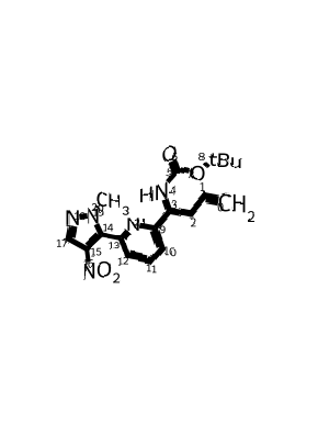 C=CCC(NC(=O)OC(C)(C)C)c1cccc(-c2c([N+](=O)[O-])cnn2C)n1